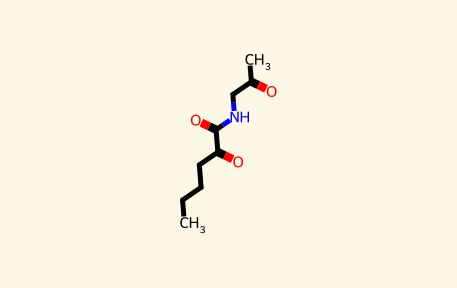 CCCCC(=O)C(=O)NCC(C)=O